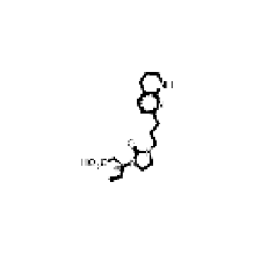 C=C[C@@H](CC(=O)O)N1CCN(CCCc2ccc3c(n2)NCCC3)C1=O